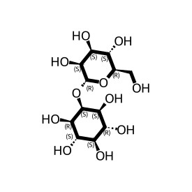 OC[C@H]1O[C@H](O[C@@H]2[C@H](O)[C@@H](O)[C@H](O)[C@@H](O)[C@@H]2O)[C@@H](O)[C@@H](O)[C@@H]1O